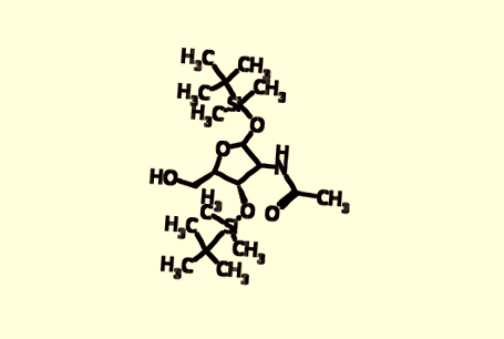 CC(=O)NC1C(O[Si](C)(C)C(C)(C)C)O[C@H](CO)[C@@H]1O[Si](C)(C)C(C)(C)C